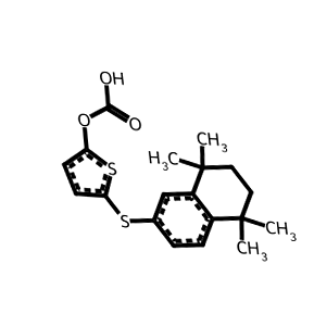 CC1(C)CCC(C)(C)c2cc(Sc3ccc(OC(=O)O)s3)ccc21